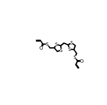 C=CC(=O)SCC1CSC(CC2SCC(CSC(=O)C=C)S2)S1